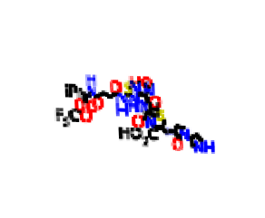 CC(C)[C@H](NC(=O)CCC(=O)Nc1nc(/C(=N\O)C(=O)N[C@@H]2C(=O)N3C(C(=O)O)=C(/C=C4\CCN(C5CCNC5)C4=O)CS[C@H]23)ns1)C(=O)OC(=O)C(F)(F)F